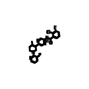 CC1=C(c2cnc(NC(=O)c3cccc(F)c3Cl)cn2)CN(c2ncccc2F)CC1